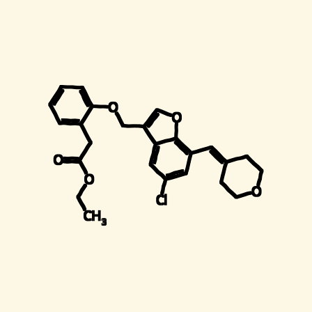 CCOC(=O)Cc1ccccc1OCc1coc2c(C=C3CCOCC3)cc(Cl)cc12